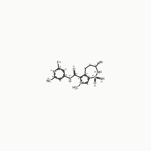 CC(C)C1CCc2c(cn(C)c2C(=O)Nc2cc(F)nc(C#N)c2)S(=N)(=O)N1